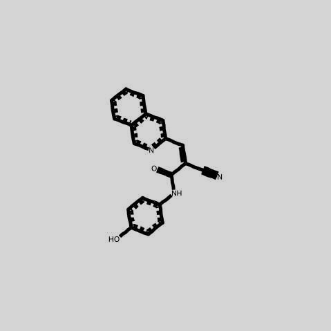 N#CC(=Cc1cc2ccccc2cn1)C(=O)Nc1ccc(O)cc1